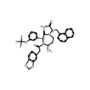 C[C@@H]1CCN([C@H](Cc2cccc3ccccc23)C(N)=O)C(=O)[C@H](c2cccc(OC(F)(F)F)c2)N1C(=O)Cc1ccc2c(c1)OCO2